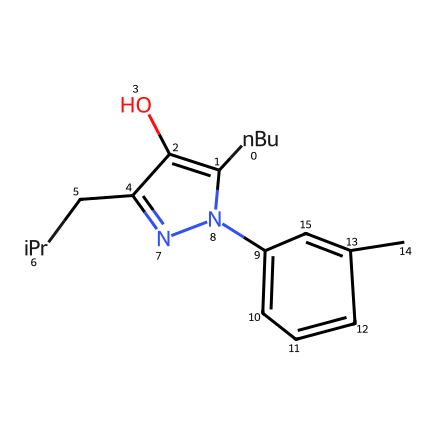 CCCCc1c(O)c(CC(C)C)nn1-c1cccc(C)c1